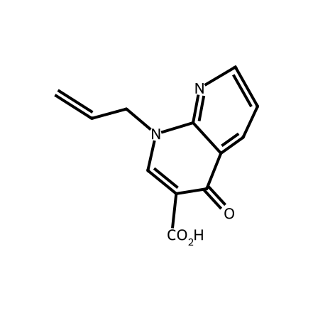 C=CCn1cc(C(=O)O)c(=O)c2cccnc21